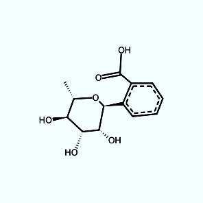 C[C@@H]1O[C@@H](c2ccccc2C(=O)O)[C@H](O)[C@H](O)[C@H]1O